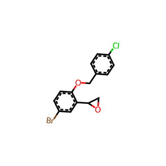 Clc1ccc(COc2ccc(Br)cc2C2CO2)cc1